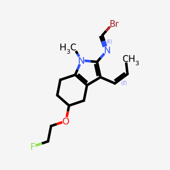 C/C=C\c1c2c(n(C)c1/N=C/Br)CCC(OCCF)C2